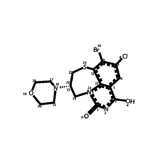 O=c1nc(O)c2cc(Cl)c(Br)c3c2n1C[C@H](N1CCOCC1)CS3